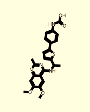 COc1cc2nc(C)nc(NC(C)c3ccc(-c4ccc(NC(=O)O)cc4)s3)c2cc1OC